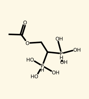 CC(=O)OCC([PH](O)(O)O)[PH](O)(O)O